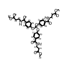 COC(=O)CCNC(=O)c1ccc(OP(Oc2ccc(C(=O)NCCC(=O)OC)cc2)Oc2ccc(C(=O)NCCC(=O)OC)cc2)cc1